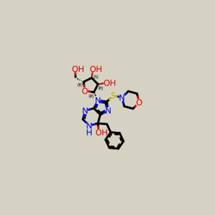 OC[C@H]1O[C@@H](n2c(SN3CCOCC3)nc3c2N=CNC3(O)Cc2ccccc2)[C@H](O)[C@@H]1O